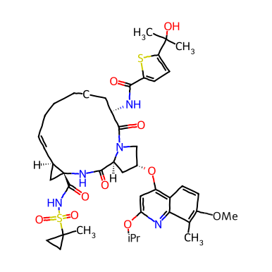 COc1ccc2c(O[C@@H]3C[C@H]4C(=O)N[C@]5(C(=O)NS(=O)(=O)C6(C)CC6)C[C@H]5/C=C\CCCCC[C@H](NC(=O)c5ccc(C(C)(C)O)s5)C(=O)N4C3)cc(OC(C)C)nc2c1C